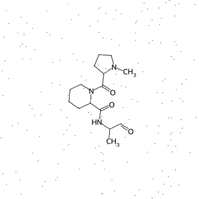 CC(C=O)NC(=O)C1CCCCN1C(=O)C1CCCN1C